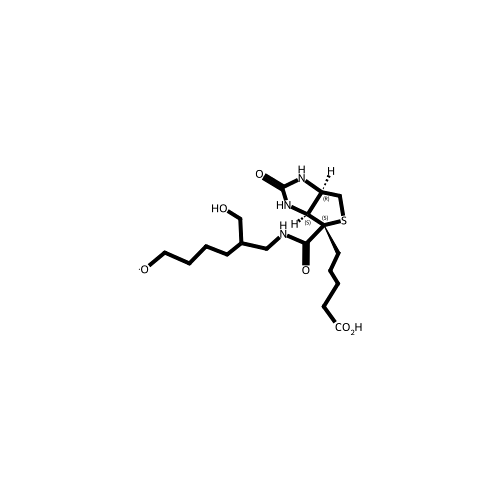 [O]CCCCC(CO)CNC(=O)[C@@]1(CCCCC(=O)O)SC[C@@H]2NC(=O)N[C@@H]21